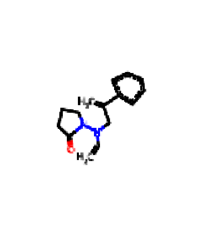 C=CN(CC(=C)c1ccccc1)N1CCCC1=O